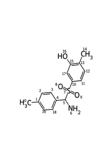 Cc1ccc(C(N)S(=O)(=O)c2ccc(C)c(O)c2)cc1